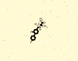 CC(C)(NCc1ccc(-c2ccc(F)cc2)c(F)c1)C(N)=O